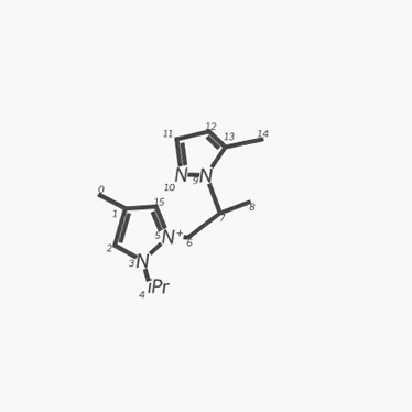 Cc1cn(C(C)C)[n+](CC(C)n2nccc2C)c1